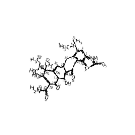 CN(C)c1cc2[nH]c(=O)oc2c2c1CC1CC3C(C(=O)C(C(N)=O)=C(O)C3(C)N(C)C)C(O)=C1C2=O